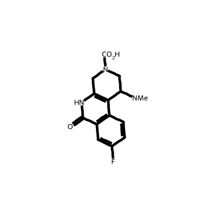 CNC1CN(C(=O)O)Cc2[nH]c(=O)c3cc(F)ccc3c21